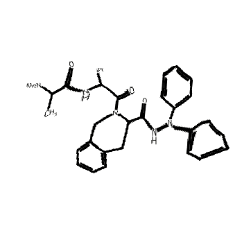 CNC(C)C(=O)NC(C(=O)N1Cc2ccccc2CC1C(=O)NN(c1ccccc1)c1ccccc1)C(C)C